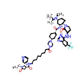 CC(C)N(C)[C@@H]1CC[C@H](N2CCC(Nc3ncnc4ccc(C(F)(F)F)cc34)C2=O)[C@H](NC(=O)[C@H]2CC[C@H](N3CCN(C(=O)CCCCCCCCNC(=O)[C@H]4CC(=O)N(C)[C@@H]4c4cccnc4)CC3)CC2)C1